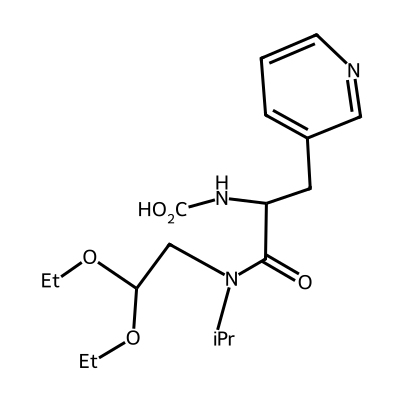 CCOC(CN(C(=O)C(Cc1cccnc1)NC(=O)O)C(C)C)OCC